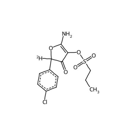 [2H]C1(c2ccc(Cl)cc2)OC(N)=C(OS(=O)(=O)CCC)C1=O